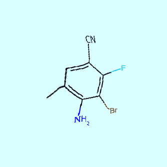 Cc1cc(C#N)c(F)c(Br)c1N